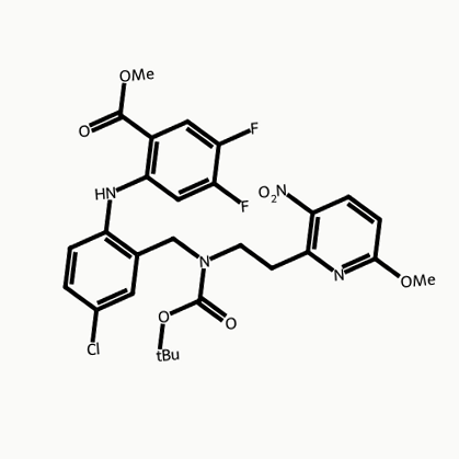 COC(=O)c1cc(F)c(F)cc1Nc1ccc(Cl)cc1CN(CCc1nc(OC)ccc1[N+](=O)[O-])C(=O)OC(C)(C)C